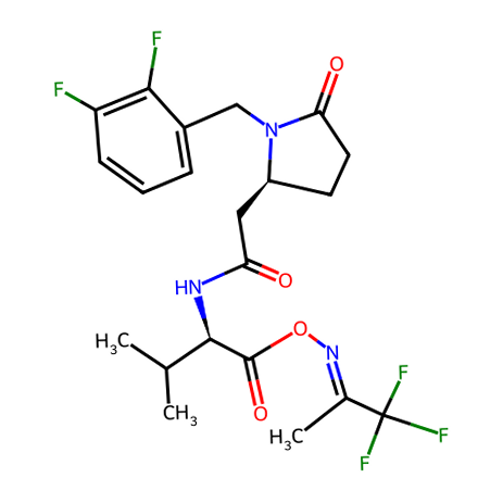 C/C(=N\OC(=O)[C@H](NC(=O)C[C@@H]1CCC(=O)N1Cc1cccc(F)c1F)C(C)C)C(F)(F)F